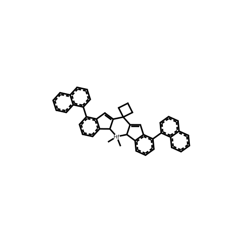 [CH3][Hf]1([CH3])[CH]2C(=Cc3c(-c4cccc5ccccc45)cccc32)C2(CCC2)C2=Cc3c(-c4cccc5ccccc45)cccc3[CH]21